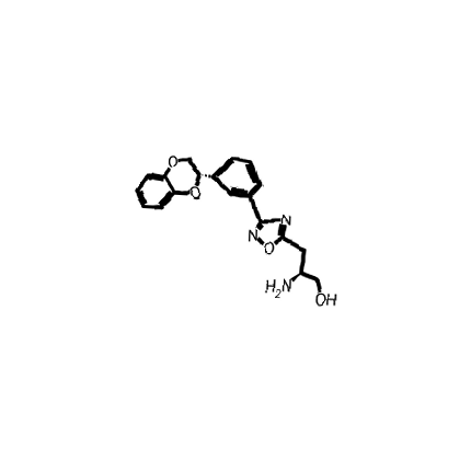 N[C@H](CO)Cc1nc(-c2cccc([C@H]3COc4ccccc4O3)c2)no1